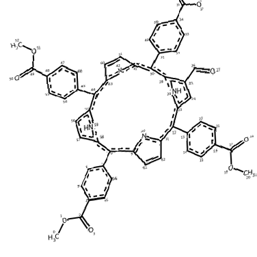 COC(=O)c1ccc(-c2c3nc(c(-c4ccc(C(=O)OC)cc4)c4cc(C=O)c([nH]4)c(-c4ccc(C(=O)OC)cc4)c4nc(c(-c5ccc(C(=O)OC)cc5)c5ccc2[nH]5)C=C4)C=C3)cc1